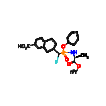 CCCOC(=O)[C@H](C)NP(=O)(Oc1ccccc1)C(F)c1ccc2ccc(C(=O)O)cc2c1